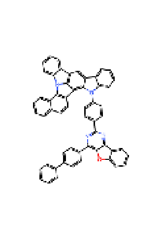 c1ccc(-c2ccc(-c3nc(-c4ccc(-n5c6ccccc6c6cc7c8ccccc8n8c9c%10ccccc%10ccc9c(c65)c78)cc4)nc4c3oc3ccccc34)cc2)cc1